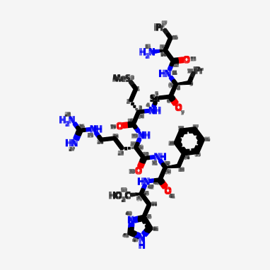 CSCC[C@H](N[Se]C(=O)[C@H](CC(C)C)NC(=O)[C@@H](N)CC(C)C)C(=O)N[C@@H](CCCNC(=N)N)C(=O)N[C@@H](Cc1ccccc1)C(=O)N[C@@H](Cc1c[nH]cn1)C(=O)O